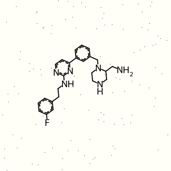 NCC1CNCCN1Cc1cccc(-c2ccnc(NCCc3cccc(F)c3)n2)c1